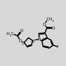 COC(=O)c1cn([C@H]2C=C[C@@H](OC(C)=O)C2)c2ccc(F)cc12